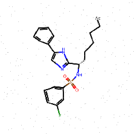 CC(=O)CCCCC[C@H](NS(=O)(=O)c1cccc(F)c1)c1ncc(-c2ccccc2)[nH]1